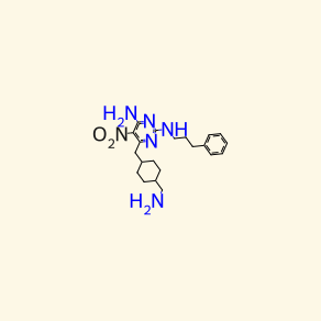 NCC1CCC(Cc2nc(NCCCc3ccccc3)nc(N)c2[N+](=O)[O-])CC1